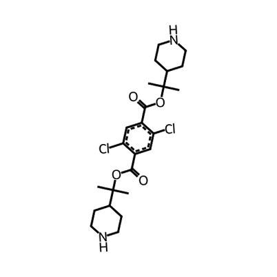 CC(C)(OC(=O)c1cc(Cl)c(C(=O)OC(C)(C)C2CCNCC2)cc1Cl)C1CCNCC1